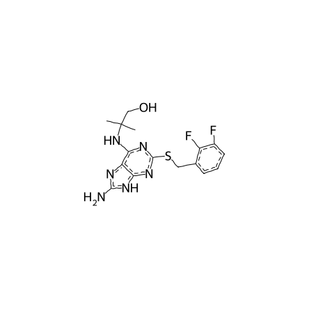 CC(C)(CO)Nc1nc(SCc2cccc(F)c2F)nc2[nH]c(N)nc12